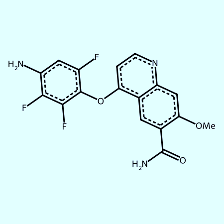 COc1cc2nccc(Oc3c(F)cc(N)c(F)c3F)c2cc1C(N)=O